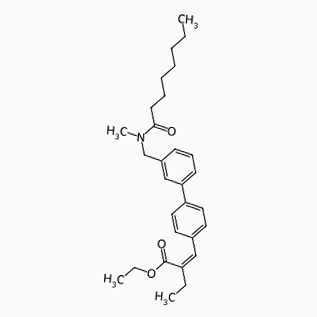 CCCCCCCC(=O)N(C)Cc1cccc(-c2ccc(C=C(CC)C(=O)OCC)cc2)c1